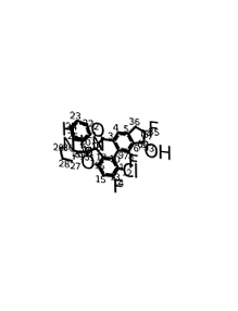 NC(=O)c1cc2c(c(F)c1-c1c(Cl)c(F)cc3c1C[C@](c1ccccc1)([C@@H]1CCCN1)O3)[C@H](O)[C@@H](F)C2